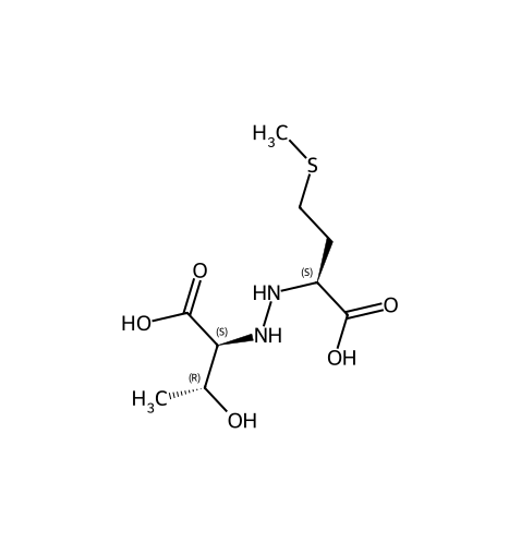 CSCC[C@H](NN[C@H](C(=O)O)[C@@H](C)O)C(=O)O